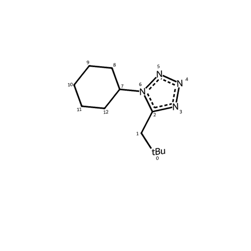 CC(C)(C)Cc1nnnn1C1CCCCC1